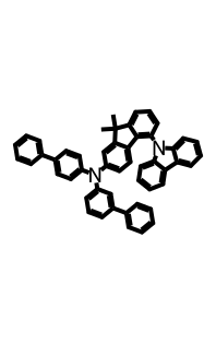 CC1(C)c2cc(N(c3ccc(-c4ccccc4)cc3)c3cccc(-c4ccccc4)c3)ccc2-c2c(-n3c4ccccc4c4ccccc43)cccc21